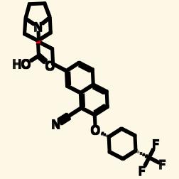 N#Cc1c(O[C@H]2CC[C@@H](C(F)(F)F)CC2)ccc2ccc(CCCN3C4CCC3CC(C(=O)O)C4)cc12